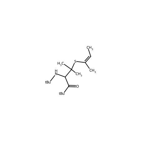 C/C=C(/C)SC(C)(C)C(NC(C)(C)C)C(=O)C(C)(C)C